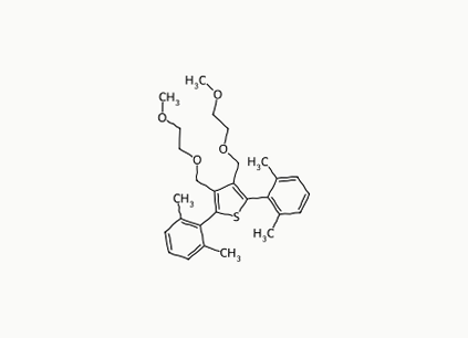 COCCOCc1c(-c2c(C)cccc2C)sc(-c2c(C)cccc2C)c1COCCOC